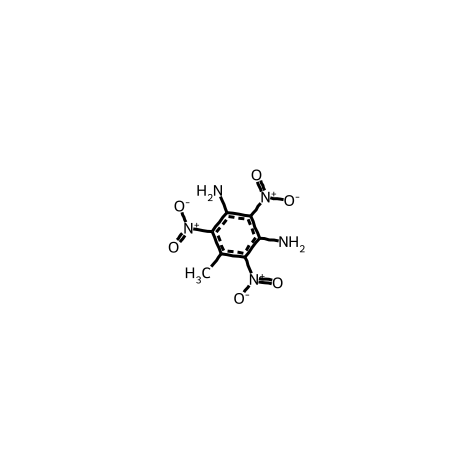 Cc1c([N+](=O)[O-])c(N)c([N+](=O)[O-])c(N)c1[N+](=O)[O-]